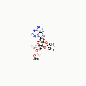 CC[C@H](C)OC(=O)OC[C@@]1(C)O[C@@H](c2ccc3c(N)ncnn23)[C@@H]2OC(C)(C)O[C@@H]21